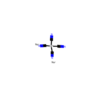 N#[C][Pd-2]([C]#N)([C]#N)[C]#N.[Na+].[Na+]